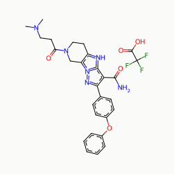 CN(C)CCC(=O)N1CCc2[nH]c3c(C(N)=O)c(-c4ccc(Oc5ccccc5)cc4)nn3c2C1.O=C(O)C(F)(F)F